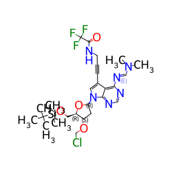 CN(C)/C=N/c1ncnc2c1c(C#CCNC(=O)C(F)(F)F)cn2[C@H]1C[C@H](OCCl)[C@@H](CO[Si](C)(C)C(C)(C)C)O1